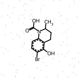 CC1CCc2c(ccc(Br)c2O)N1C(=O)O